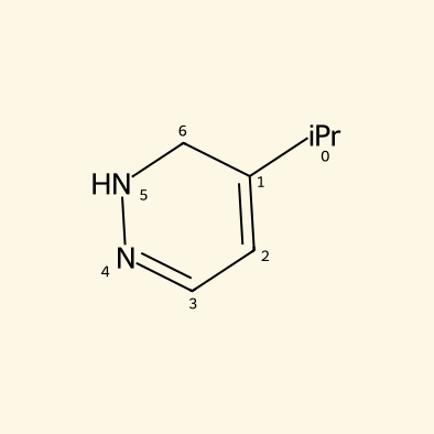 CC(C)C1=CC=NNC1